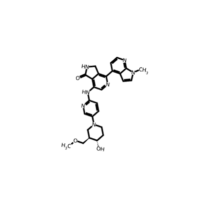 COC[C@H]1CN(c2ccc(Nc3cnc(-c4ccnc5c4ccn5C)c4c3C(=O)NC4)nc2)CC[C@@H]1O